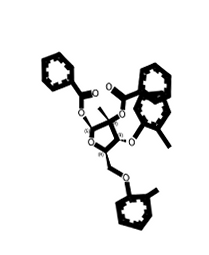 Cc1ccccc1OC[C@H]1O[C@@H](OC(=O)c2ccccc2)[C@](C)(OC(=O)c2ccccc2)[C@@H]1Oc1ccccc1C